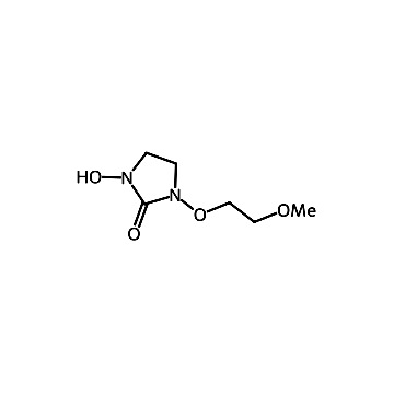 COCCON1CCN(O)C1=O